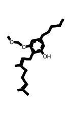 CCCCCc1cc(O)c(CC=C(C)CCC=C(C)C)c(OCOC)c1